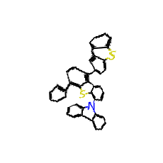 c1ccc(-c2ccc(-c3ccc4sc5ccccc5c4c3)c3c2sc2c(-n4c5ccccc5c5ccccc54)cccc23)cc1